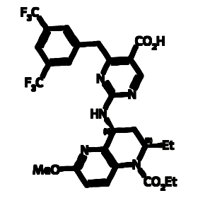 CCOC(=O)N1c2ccc(OC)nc2[C@@H](Nc2ncc(C(=O)O)c(Cc3cc(C(F)(F)F)cc(C(F)(F)F)c3)n2)C[C@H]1CC